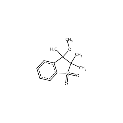 COC1(C)c2ccccc2S(=O)(=O)C1(C)C